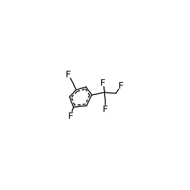 FCC(F)(F)c1cc(F)cc(F)c1